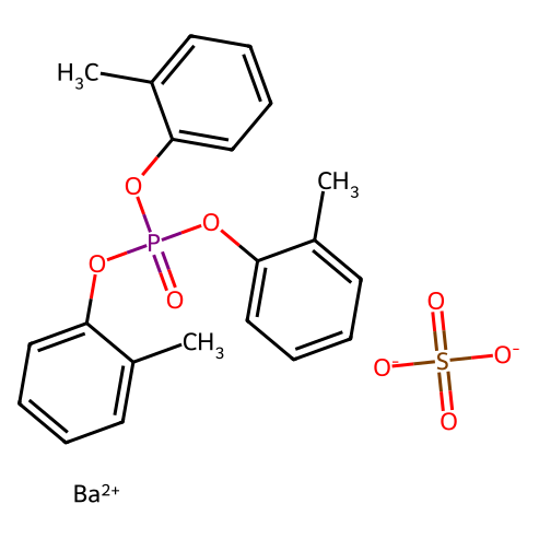 Cc1ccccc1OP(=O)(Oc1ccccc1C)Oc1ccccc1C.O=S(=O)([O-])[O-].[Ba+2]